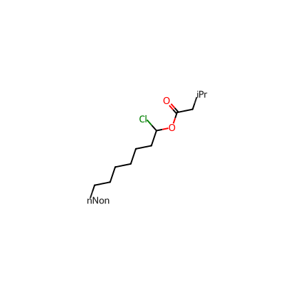 CCCCCCCCCCCCCCCC(Cl)OC(=O)CC(C)C